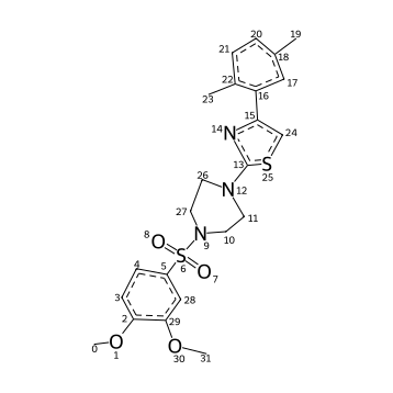 COc1ccc(S(=O)(=O)N2CCN(c3nc(-c4cc(C)ccc4C)cs3)CC2)cc1OC